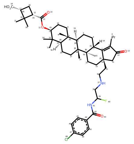 CC(C)C1=C2[C@H]3CC[C@@H]4[C@@]5(C)CC[C@H](OC(=O)[C@H]6C[C@@H](C(=O)O)C6(C)C)C(C)(C)[C@@H]5CC[C@@]4(C)[C@]3(C)CC[C@@]2(CCNCC(F)NC(=O)c2ccc(Cl)cc2)CC1=O